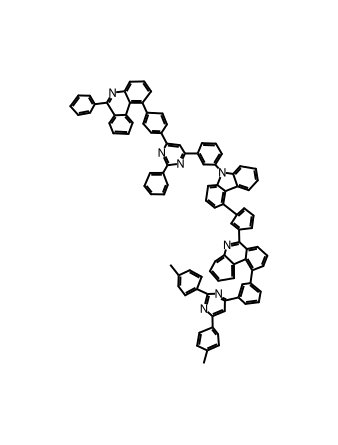 Cc1ccc(-c2cc(-c3cccc(-c4cccc5c(-c6cccc(-c7cccc8c7c7ccccc7n8-c7cccc(-c8cc(-c9ccc(-c%10cccc%11nc(-c%12ccccc%12)c%12ccccc%12c%10%11)cc9)nc(-c9ccccc9)n8)c7)c6)nc6ccccc6c45)c3)nc(-c3ccc(C)cc3)n2)cc1